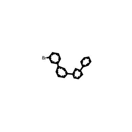 Brc1cccc(-c2cccc(-c3cccc(-c4ccccc4)c3)c2)c1